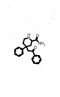 NC(=O)C1CC([CH]C(=O)c2ccccc2)(c2ccccc2)CCN1